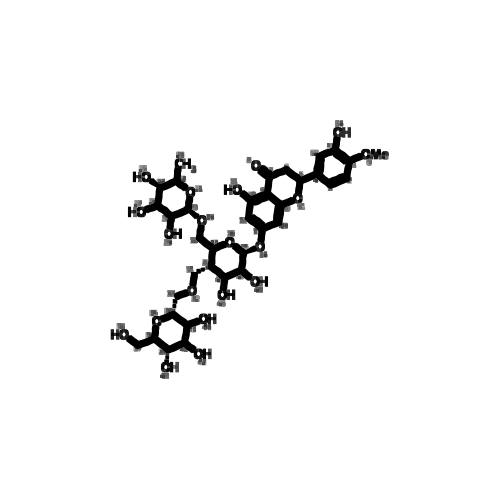 COc1ccc(C2CC(=O)c3c(O)cc(O[C@@H]4OC(CO[C@@H]5OC(C)[C@H](O)C(O)C5O)[C@@H](COC[C@H]5OC(CO)[C@@H](O)C(O)C5O)C(O)C4O)cc3O2)cc1O